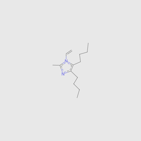 C=Cn1c(C)nc(CCCC)c1CCCC